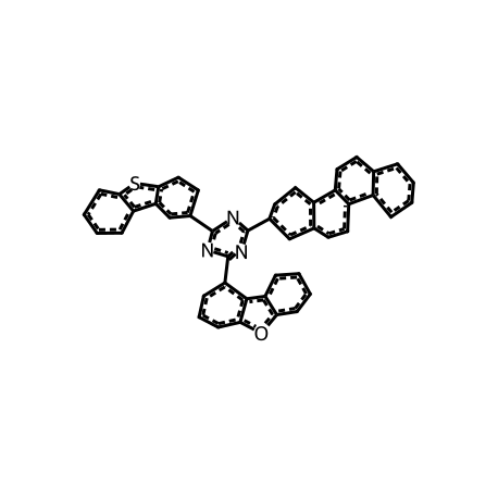 c1ccc2c(c1)ccc1c3ccc(-c4nc(-c5ccc6sc7ccccc7c6c5)nc(-c5cccc6oc7ccccc7c56)n4)cc3ccc21